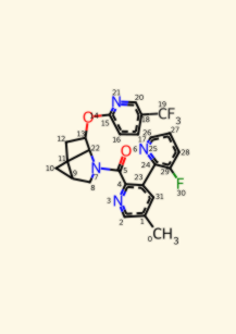 Cc1cnc(C(=O)N2CC3CC34CC(Oc3ccc(C(F)(F)F)cn3)C24)c(-c2ncccc2F)c1